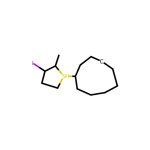 CC1C(I)CC[SH]1C1CCCCCCCC1